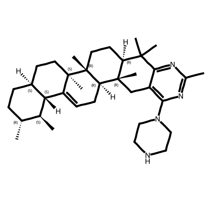 Cc1nc(N2CCNCC2)c2c(n1)C(C)(C)[C@@H]1CC[C@]3(C)[C@H](CC=C4[C@H]5[C@@H](CC[C@@H](C)[C@@H]5C)CC[C@]43C)[C@@]1(C)C2